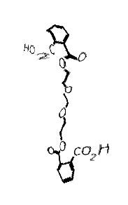 O=C(O)c1ccccc1C(=O)OCCOCCOCCOC(=O)c1ccccc1C(=O)O